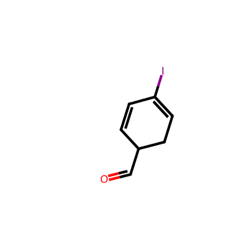 O=CC1C=CC(I)=CC1